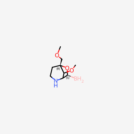 B[C@@H]1O[C@@]2(COC)CCNC1C2OC